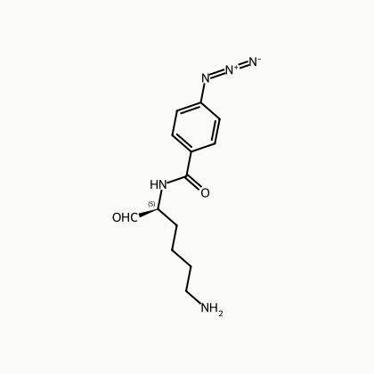 [N-]=[N+]=Nc1ccc(C(=O)N[C@H](C=O)CCCCN)cc1